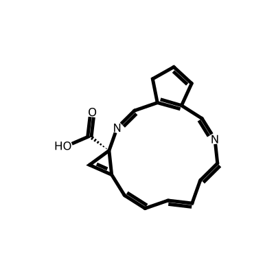 O=C(O)[C@@]12C=C1\C=C/C=C/C=C/N=C\C1=C(/C=N\2)CC=C1